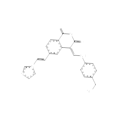 N#CCc1ccc(N/C=C2\C(=O)NC(=O)c3ccc(/C=C/n4ccnc4)cc32)cc1